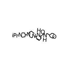 CC(C)N1CCC(N2CCCN(C3C=CC=C(C(=O)NCC4CCOCC4)N3)CC2)CC1